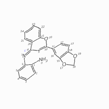 Nc1ccccc1/N=c1\cc(-c2ccc3c(c2)OCO3)oc2ccccc12